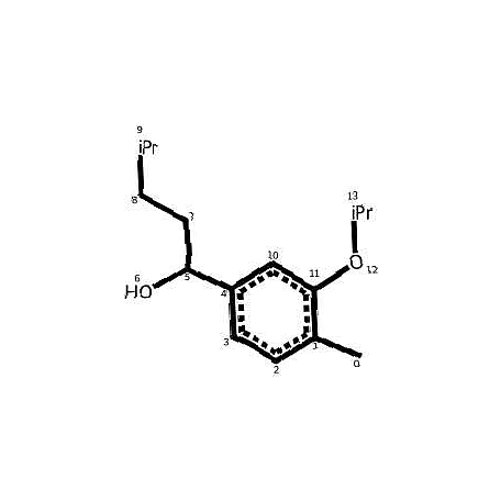 Cc1ccc(C(O)CCC(C)C)cc1OC(C)C